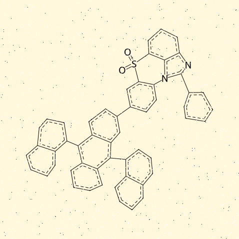 O=S1(=O)c2cc(-c3ccc4c(-c5cccc6ccccc56)c5ccccc5c(-c5cccc6ccccc56)c4c3)ccc2-n2c(-c3ccccc3)nc3cccc1c32